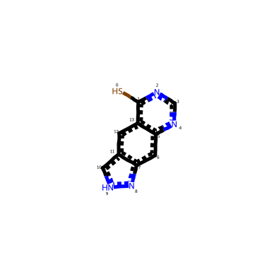 Sc1ncnc2cc3n[nH]cc3cc12